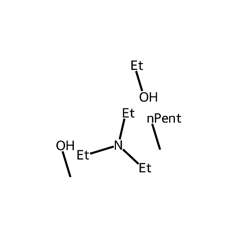 CCCCCC.CCN(CC)CC.CCO.CO